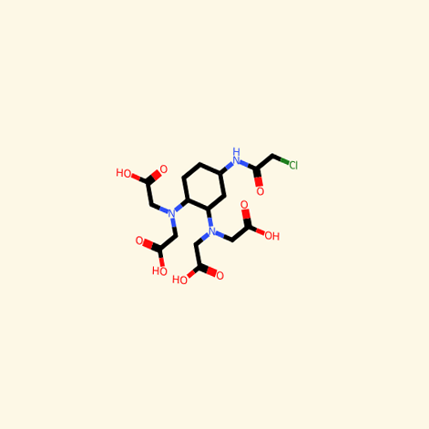 O=C(O)CN(CC(=O)O)C1CCC(NC(=O)CCl)CC1N(CC(=O)O)CC(=O)O